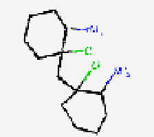 NC1CCCCC1(Cl)CC1(Cl)CCCCC1N